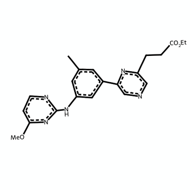 CCOC(=O)CCc1cncc(-c2cc(C)cc(Nc3nccc(OC)n3)c2)n1